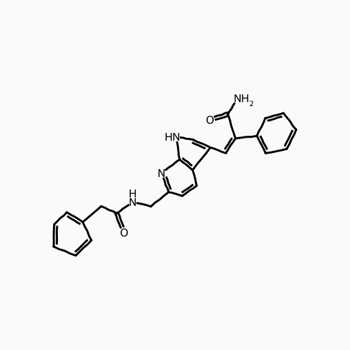 NC(=O)/C(=C\c1c[nH]c2nc(CNC(=O)Cc3ccccc3)ccc12)c1ccccc1